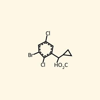 O=C(O)C(c1cc(Cl)cc(Br)c1Cl)C1CC1